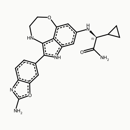 NC(=O)[C@@H](Nc1cc2c3c(c(-c4ccc5nc(N)oc5c4)[nH]c3c1)NCCO2)C1CC1